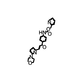 O=C(Nc1ccc(C(=O)C=Cc2cccc(N3CCOCC3)n2)cc1)OCc1ccccn1